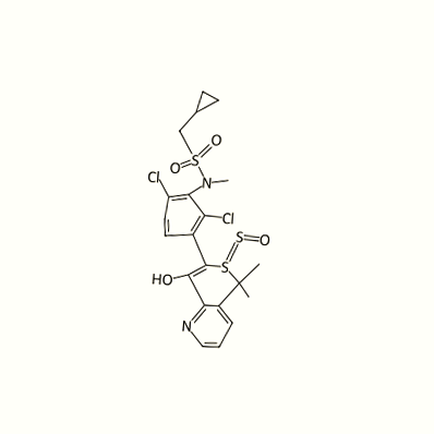 CN(c1c(Cl)ccc(C2=C(O)c3ncccc3C(C)(C)S2=S=O)c1Cl)S(=O)(=O)CC1CC1